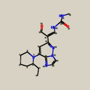 CCC1CCCCN1c1cc(/C(C=O)=C/NC(=O)NC)nn2ccnc12